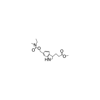 CCN(C)C(=O)OCc1ccc2c(c1)NCC2CCC(=O)OC